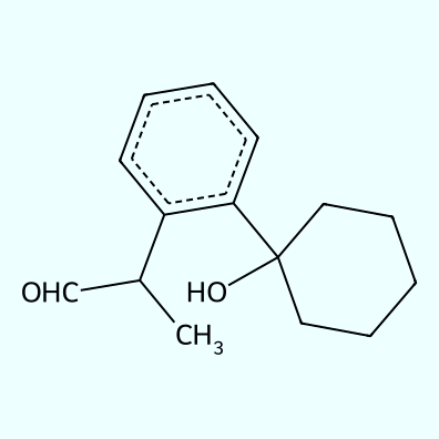 CC(C=O)c1ccccc1C1(O)CCCCC1